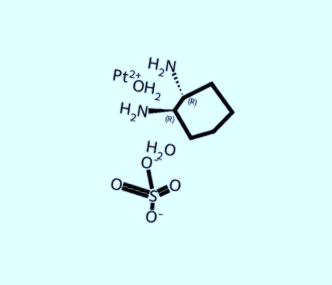 N[C@@H]1CCCC[C@H]1N.O.O.O=S(=O)([O-])[O-].[Pt+2]